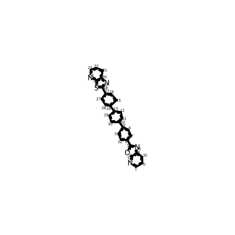 c1cnc2oc(-c3ccc(-c4ccc(-c5ccc(-c6nc7cccnc7s6)cc5)cc4)cc3)nc2c1